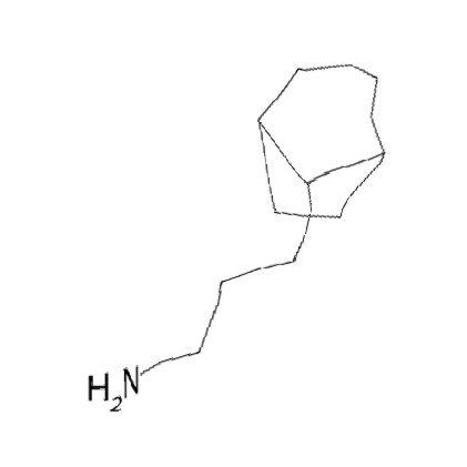 NCCCC1C2CCC1CC2